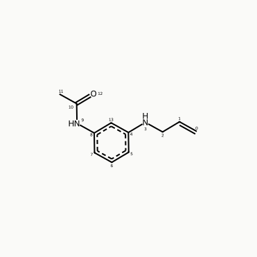 C=CCNc1cccc(NC(C)=O)c1